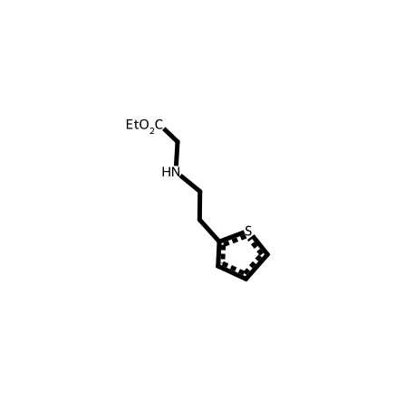 CCOC(=O)CNCCc1cccs1